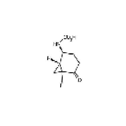 O=C(O)N[C@H]1CCC(=O)[C@@H]2C[C@H]12